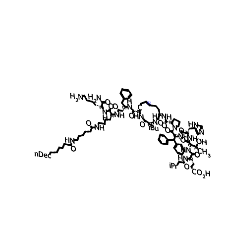 CCCCCCCCCCCCCCCC(=O)NCCCCCC(=O)NCCCC[C@H](NC(=O)C[C@H](Cc1ccccc1)NC(=O)[C@@H]1CC/C=C/CC[C@H](NC(=O)[C@@H]2CCCN2C(=O)[C@@H](NC(=O)[C@H](Cc2cnc[nH]2)NC(=O)[C@@H](NC(=O)[C@H](CCC(=O)O)NC(=O)CC(C)C)[C@@H](C)O)C(c2ccccc2)c2ccccc2)C(=O)N[C@@H]([C@@H](C)CC)C(=O)N1)C(=O)N[C@H](CCCCN)C(N)=O